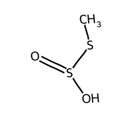 CSS(=O)O